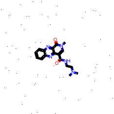 CN(C)CCNC(=O)c1cn(C)c(=O)c2nc3ccccc3nc12